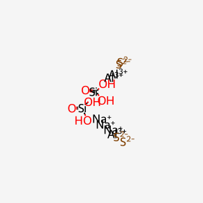 O=[Si](O)O.O=[Si](O)O.[Al+3].[Al+3].[Al+3].[Na+].[Na+].[Na+].[S-2].[S-2].[S-2].[S-2]